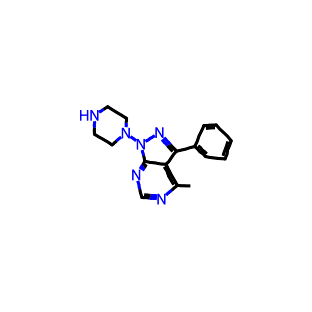 Cc1ncnc2c1c(-c1ccccc1)nn2N1CCNCC1